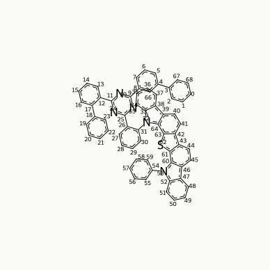 c1ccc(-c2cccc(-c3nc(-c4ccccc4-c4ccccc4)nc(-c4ccccc4-n4c5ccccc5c5ccc6c7ccc8c9ccccc9n(-c9ccccc9)c8c7sc6c54)n3)c2)cc1